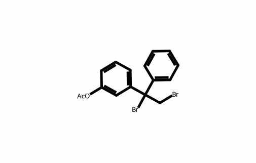 CC(=O)Oc1cccc(C(Br)(CBr)c2ccccc2)c1